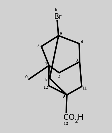 CC12CC3CC(Br)(C1)CC(C(=O)O)(C3)C2